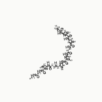 CCCNC(=O)CCNC(=O)c1nc(NC(=O)CCNCc2cc(NC(=O)c3nc(NC(=O)CCNC(=O)c4cc(NC(=O)c5nc(NC(=O)OC(C)(C)C)cn5C)cn4C)cn3C)cn2C)cn1C